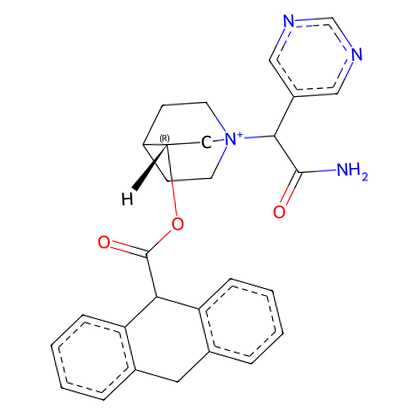 NC(=O)C(c1cncnc1)[N+]12CCC(CC1)[C@@H](OC(=O)C1c3ccccc3Cc3ccccc31)C2